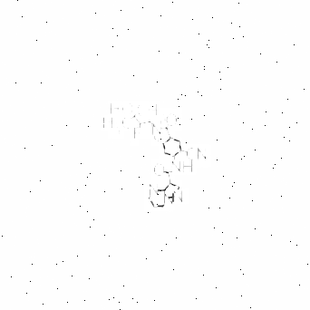 CC(C)(O)C(F)CN1Cc2cc(NC(=O)c3cnn4cccnc34)c(C#N)cc2C1=O